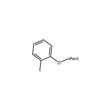 [CH2]c1ccccc1OCCCCC